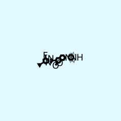 C[C@@H]1CN(c2ccc3cc(-c4cn5cc(C6CC6)cc(F)c5n4)c(=O)oc3c2)C[C@H](C)N1